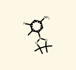 Cc1c(F)cc(N)cc1B1OC(C)(C)C(C)(C)O1